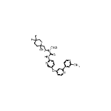 Cc1cc(-c2cc(Oc3ccc(NC(=O)N(C=O)CCC4(C)CCC(F)(F)CC4)nc3)ccn2)ccn1